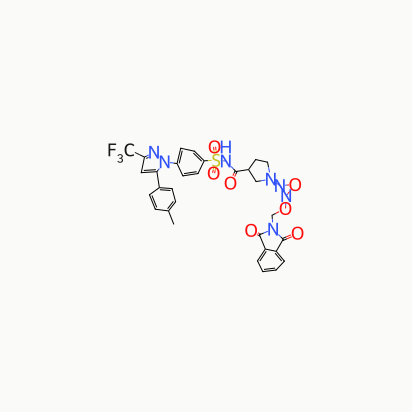 Cc1ccc(-c2cc(C(F)(F)F)nn2-c2ccc(S(=O)(=O)NC(=O)C3CCN(n4on4OCN4C(=O)c5ccccc5C4=O)C3)cc2)cc1